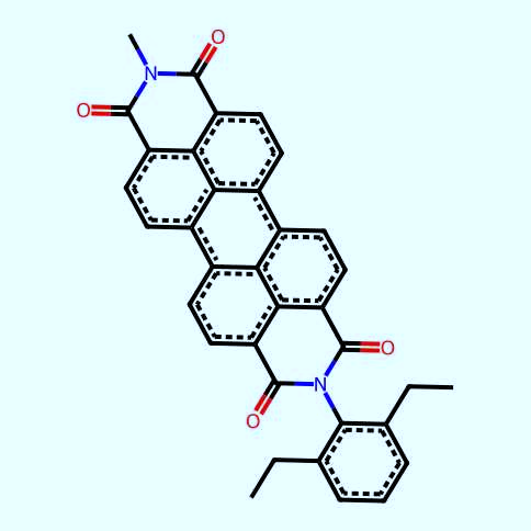 CCc1cccc(CC)c1N1C(=O)c2ccc3c4ccc5c6c(ccc(c7ccc(c2c37)C1=O)c64)C(=O)N(C)C5=O